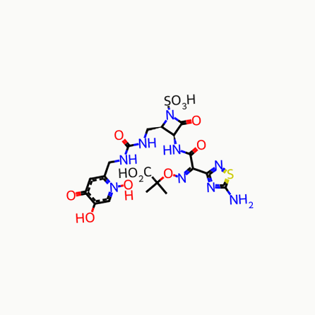 CC(C)(ON=C(C(=O)N[C@@H]1C(=O)N(S(=O)(=O)O)[C@@H]1CNC(=O)NCc1cc(=O)c(O)cn1O)c1nsc(N)n1)C(=O)O